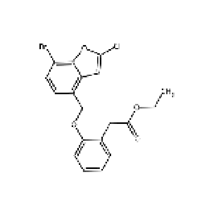 CCOC(=O)Cc1ccccc1OCc1ccc(Br)c2oc(Cl)cc12